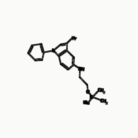 CC(C)c1cn(-c2ccccc2)c2ccc(NCCO[Si](C)(C)C(C)(C)C)cc12